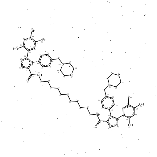 CC(C)c1cc(-c2nnc(C(=O)NCCCCCCCCCCCNC(=O)c3nnc(-c4cc(C(C)C)c(O)cc4O)n3-c3ccc(CN4CCOCC4)cc3)n2-c2ccc(CN3CCOCC3)cc2)c(O)cc1O